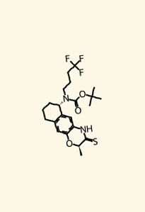 C[C@H]1Oc2cc3c(cc2NC1=S)[C@@H](N(CCCC(F)(F)F)C(=O)OC(C)(C)C)CCC3